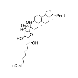 CCCCCCCCCCCCCCCCC(O)[C@H]1OC(C2(P(=O)(O)O)CC[C@@]3(C)C(CCC4C3CC[C@@]3(C)C4CC[C@@H]3[C@H](C)CCC)C2)C[C@@H]1O